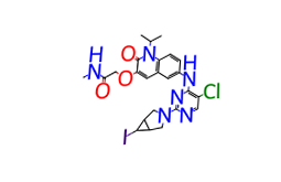 CNC(=O)COc1cc2cc(Nc3nc(N4CC5C(I)C5C4)ncc3Cl)ccc2n(C(C)C)c1=O